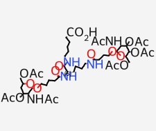 CC(=O)NC1C(OC(C)=O)CC(COC(C)=O)OC1OCCCCC(=O)N[C@@H](CCCCNC(=O)CCCOC1OC(COC(C)=O)C(OC(C)=O)C(OC(C)=O)C1NC(C)=O)C(=O)NCCCCCC(=O)O